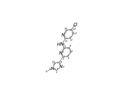 Cn1cnc(-c2cccc(Nc3ccc(Cl)cn3)n2)c1